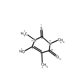 Cc1c(O)n(C)c(=S)n(C)c1=O